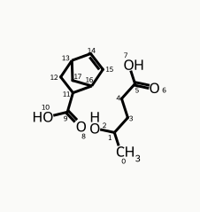 CC(O)CCC(=O)O.O=C(O)C1CC2C=CC1C2